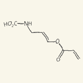 C=CC(=O)OC=CCNC(=O)O